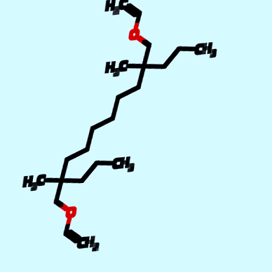 C=COCC(C)(CCC)CCCCCCC(C)(CCC)COC=C